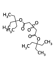 CCC(CC)(CC)OC(=O)CS(=O)(=O)CC(=O)OC(CC)(CC)CC